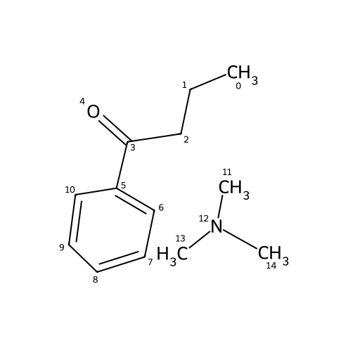 CCCC(=O)c1ccccc1.CN(C)C